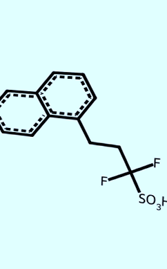 O=S(=O)(O)C(F)(F)CCc1cccc2ccccc12